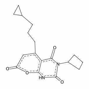 O=c1cc(CCCC2CC2)c2c(=O)n(C3CCC3)c(=O)[nH]c2o1